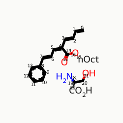 C=CC=CC(=CC=Cc1ccccc1)C(=O)OCCCCCCCC.N[C@@H](CO)C(=O)O